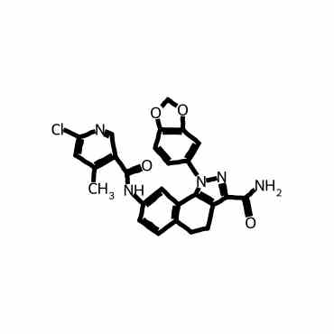 Cc1cc(Cl)ncc1C(=O)Nc1ccc2c(c1)-c1c(c(C(N)=O)nn1-c1ccc3c(c1)OCO3)CC2